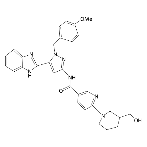 COc1ccc(Cn2nc(NC(=O)c3ccc(N4CCCC(CO)C4)nc3)cc2-c2nc3ccccc3[nH]2)cc1